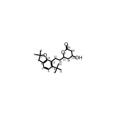 CC1(C)Cc2ccc(C(C)(C)C)c(CCC3CC(O)CC(=O)O3)c2O1